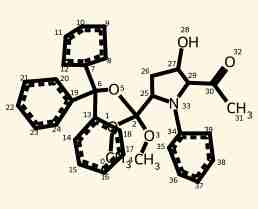 COC(OC)(OC(c1ccccc1)(c1ccccc1)c1ccccc1)C1CC(O)C(C(C)=O)N1c1ccccc1